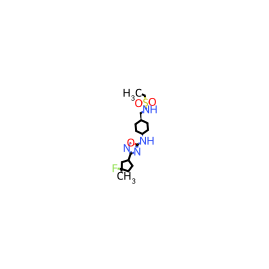 CCS(=O)(=O)NC[C@H]1CC[C@H](Nc2nc(C3CCC(C)(F)C3)no2)CC1